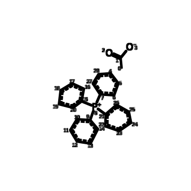 CC(=O)[O-].c1ccc([P+](c2ccccc2)(c2ccccc2)c2ccccc2)cc1